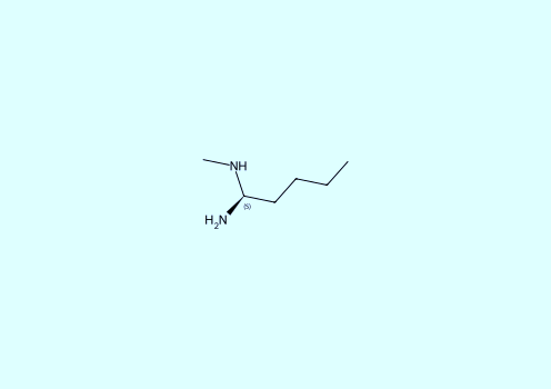 CCCC[C@@H](N)NC